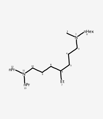 CCCCCCN(C)CCCC(CC)CCCN(CCC)CCC